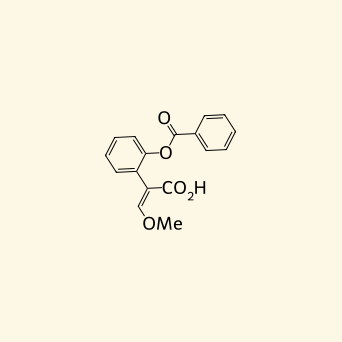 CO/C=C(\C(=O)O)c1ccccc1OC(=O)c1ccccc1